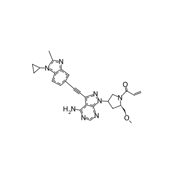 C=CC(=O)N1CC(n2nc(C#Cc3ccc4c(c3)nc(C)n4C3CC3)c3c(N)ncnc32)C[C@@H]1COC